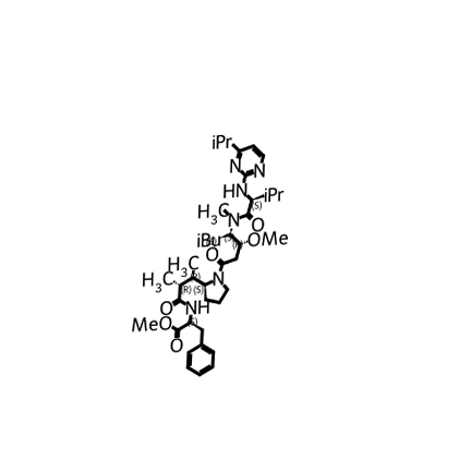 CC[C@H](C)[C@@H]([C@@H](CC(=O)N1CCC[C@H]1[C@H](C)[C@@H](C)C(=O)N[C@@H](Cc1ccccc1)C(=O)OC)OC)N(C)C(=O)[C@@H](Nc1nccc(C(C)C)n1)C(C)C